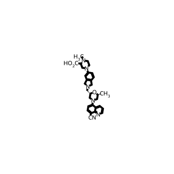 C[C@@H]1CN(c2ccc(C#N)c3ncccc23)C[C@H](CN2Cc3ccc(N4CCN(C)C(C(=O)O)C4)cc3C2)O1